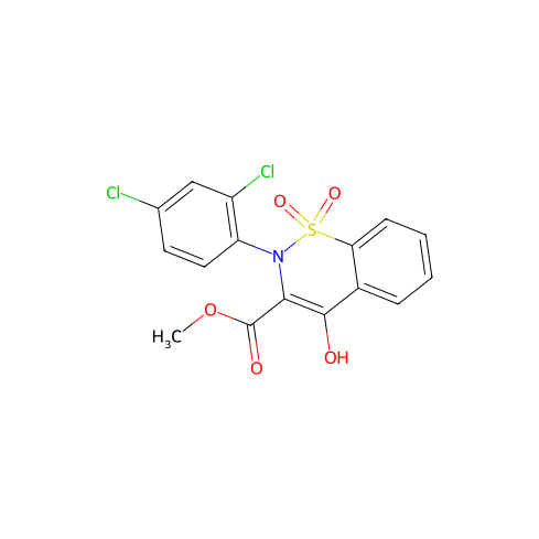 COC(=O)C1=C(O)c2ccccc2S(=O)(=O)N1c1ccc(Cl)cc1Cl